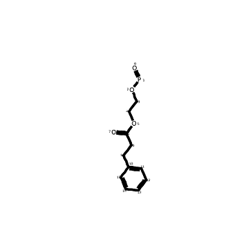 O=POCCOC(=O)CCc1ccccc1